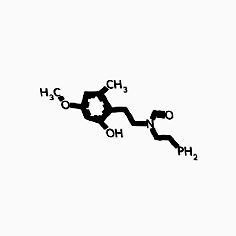 COc1cc(C)c(CCN(C=O)CCP)c(O)c1